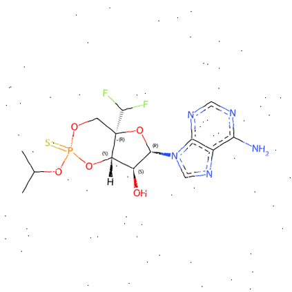 CC(C)OP1(=S)OC[C@@]2(C(F)F)O[C@@H](n3cnc4c(N)ncnc43)[C@@H](O)[C@@H]2O1